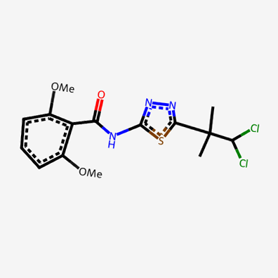 COc1cccc(OC)c1C(=O)Nc1nnc(C(C)(C)C(Cl)Cl)s1